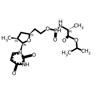 CC(C)OC(=O)[C@@H](C)N[PH](=O)OCC[C@@H]1C[C@H](C)[C@H](n2ccc(=O)[nH]c2=O)O1